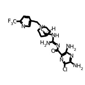 N/C(=N\C(=O)c1nc(Cl)c(N)nc1N)N[C@@H]1C[N+]2(Cc3ccc(C(F)(F)F)nc3)CCC1CC2